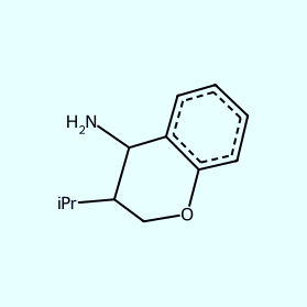 CC(C)C1COc2ccccc2C1N